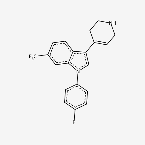 Fc1ccc(-n2cc(C3=CCNCC3)c3ccc(C(F)(F)F)cc32)cc1